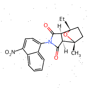 CC[C@@]12CC[C@@](C)(O1)[C@H]1C(=O)N(c3ccc([N+](=O)[O-])c4ccccc34)C(=O)[C@H]12